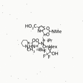 CCCCCCON(C(=O)[C@@H](NC(=O)[C@H]1CCCCN1C)[C@@H](C)CC)[C@H](C[C@@H](OC(=O)NC)c1nc(C(=O)O)cs1)C(C)C.O=C(O)C(F)(F)F